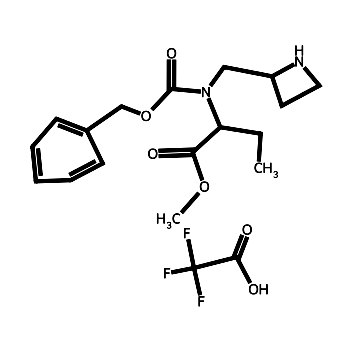 CCC(C(=O)OC)N(CC1CCN1)C(=O)OCc1ccccc1.O=C(O)C(F)(F)F